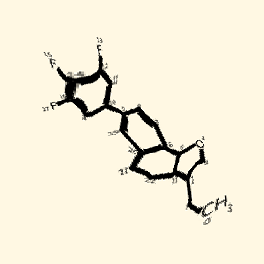 CCC1COC2c3ccc(-c4cc(F)c(F)c(F)c4)cc3CCC12